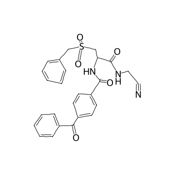 N#CCNC(=O)C(CS(=O)(=O)Cc1ccccc1)NC(=O)c1ccc(C(=O)c2ccccc2)cc1